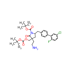 CC(C)(C)OC(=O)OCC1(CCN)CC(Cc2ccc(-c3cc(Cl)ccc3F)cc2)N(C(=O)OC(C)(C)C)C1=O